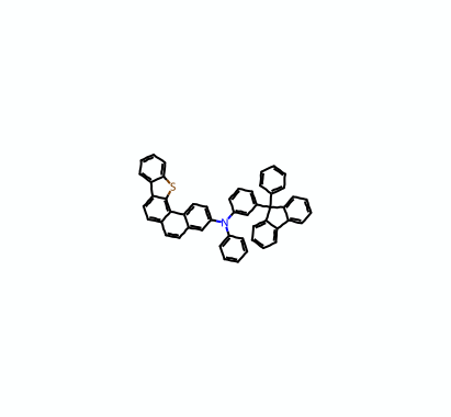 c1ccc(N(c2cccc(C3(c4ccccc4)c4ccccc4-c4ccccc43)c2)c2ccc3c(ccc4ccc5c6ccccc6sc5c43)c2)cc1